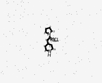 C1CCN(CCC2CCNCC2)C1.Cl.Cl